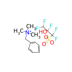 C[N+](C)(C)Cc1ccccc1.O=S(=O)([O-])C(F)(F)C(O)(F)C(F)F